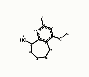 COc1cc(C)nc2c1CCCCC2O